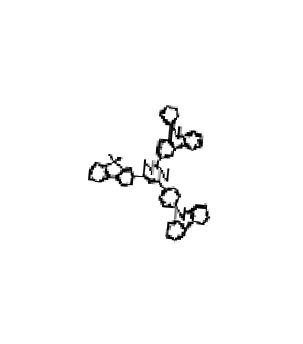 CC1(C)c2ccccc2-c2ccc(-c3cc(-c4ccc(-n5c6ccccc6c6ccccc65)cc4)nc(-c4ccc5c(c4)c4ccccc4n5-c4ccccc4)n3)cc21